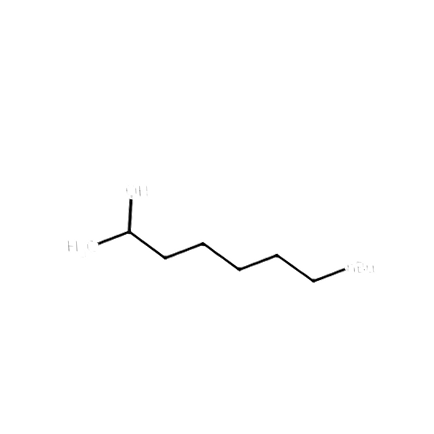 [CH2]CCCCCCCCC(C)O